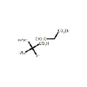 CCCCCC(CC)(CCCC)C(=O)O.CCOC(=O)CC(=O)OCC